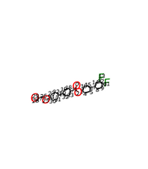 O=C(Oc1ccc(-c2ccc(F)c(F)c2)cc1)c1ccc(C2CCC(OCC3CO3)CC2)cc1